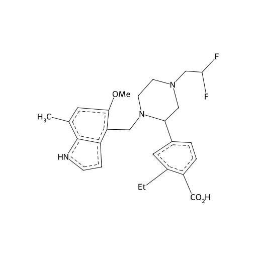 CCc1cc(C2CN(CC(F)F)CCN2Cc2c(OC)cc(C)c3[nH]ccc23)ccc1C(=O)O